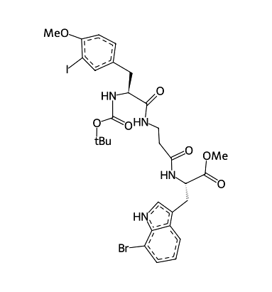 COC(=O)[C@H](Cc1c[nH]c2c(Br)cccc12)NC(=O)CCNC(=O)[C@H](Cc1ccc(OC)c(I)c1)NC(=O)OC(C)(C)C